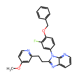 COc1ccnc(CCc2nc3cccnc3n2-c2ccc(OCc3ccccc3)c(F)c2)c1